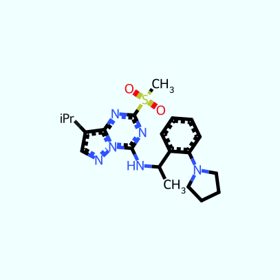 CC(C)c1cnn2c(NC(C)c3ccccc3N3CCCC3)nc(S(C)(=O)=O)nc12